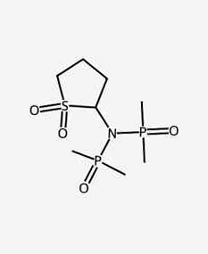 CP(C)(=O)N(C1CCCS1(=O)=O)P(C)(C)=O